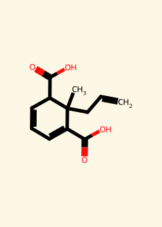 C=CCC1(C)C(C(=O)O)=CC=CC1C(=O)O